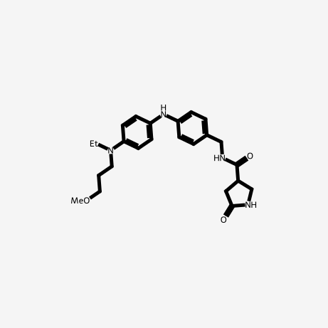 CCN(CCCOC)c1ccc(Nc2ccc(CNC(=O)C3CNC(=O)C3)cc2)cc1